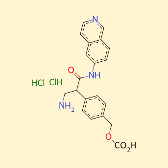 Cl.Cl.NCC(C(=O)Nc1ccc2cnccc2c1)c1ccc(COC(=O)O)cc1